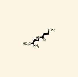 COCCC(=O)NCCC(N)C(=O)O